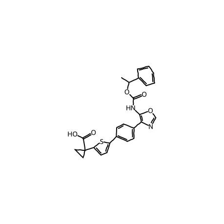 CC(OC(=O)Nc1ocnc1-c1ccc(-c2ccc(C3(C(=O)O)CC3)s2)cc1)c1ccccc1